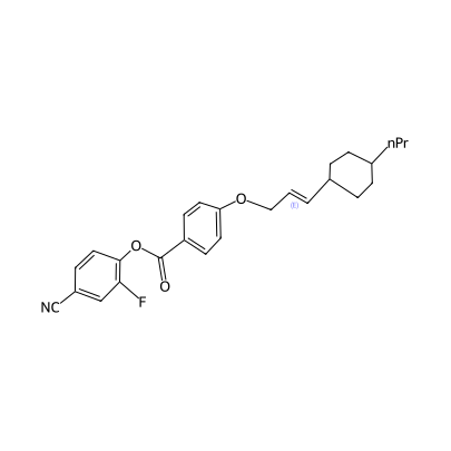 CCCC1CCC(/C=C/COc2ccc(C(=O)Oc3ccc(C#N)cc3F)cc2)CC1